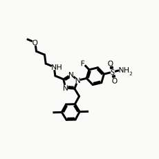 COCCCNCc1nc(Cc2cc(C)ccc2C)n(-c2ccc(S(N)(=O)=O)cc2F)n1